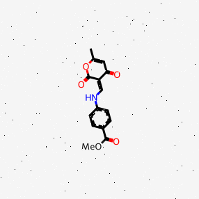 COC(=O)c1ccc(NC=C2C(=O)C=C(C)OC2=O)cc1